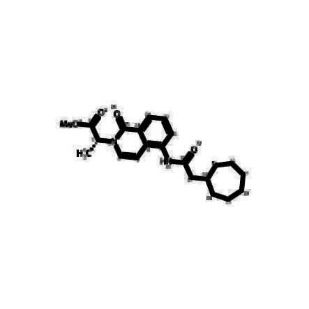 COC(=O)[C@@H](C)n1ccc2c(NC(=O)CC3CCCCCC3)cccc2c1=O